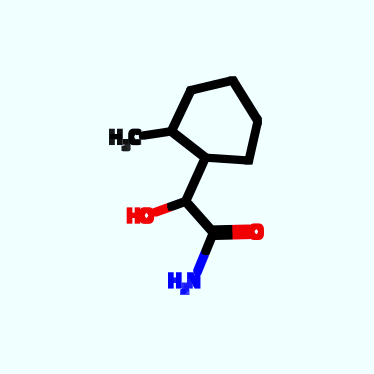 CC1CCCCC1C(O)C(N)=O